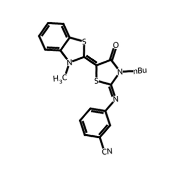 CCCCN1C(=O)C(=C2Sc3ccccc3N2C)SC1=Nc1cccc(C#N)c1